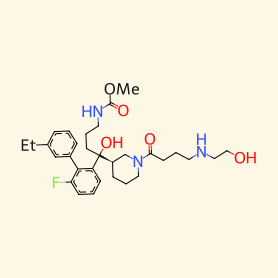 CCc1cccc(-c2c(F)cccc2C(O)(CCCNC(=O)OC)[C@@H]2CCCN(C(=O)CCCNCCO)C2)c1